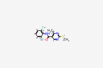 CSc1ncc(C(=O)Nc2c(F)cccc2F)c(C)n1